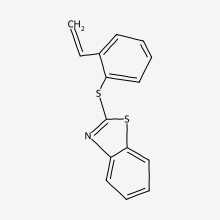 C=Cc1ccccc1Sc1nc2ccccc2s1